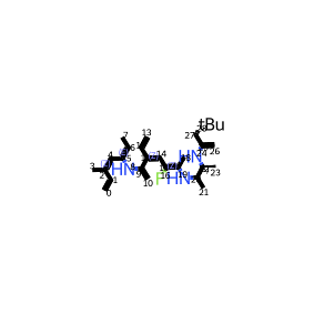 C=C/C(C)=C\C(=C/C)NC(=C)/C(C=C)=C\C(F)=C(/C)NC(C)[C@H](C)NC(=C)CC(C)(C)C